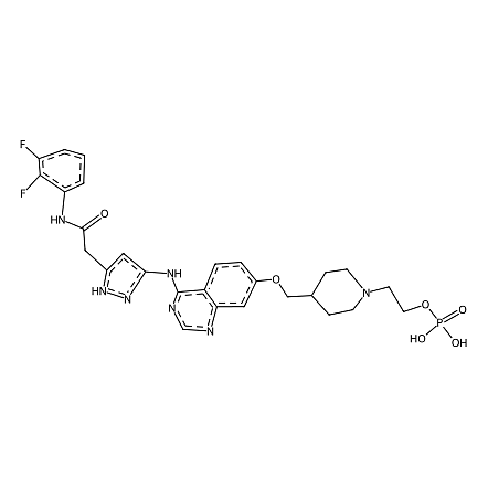 O=C(Cc1cc(Nc2ncnc3cc(OCC4CCN(CCOP(=O)(O)O)CC4)ccc23)n[nH]1)Nc1cccc(F)c1F